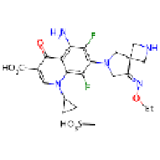 CCON=C1CN(c2c(F)c(N)c3c(=O)c(C(=O)O)cn(C4CC4)c3c2F)CC12CNC2.CS(=O)(=O)O